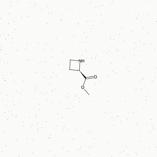 COC(=O)[C@H]1CCN1